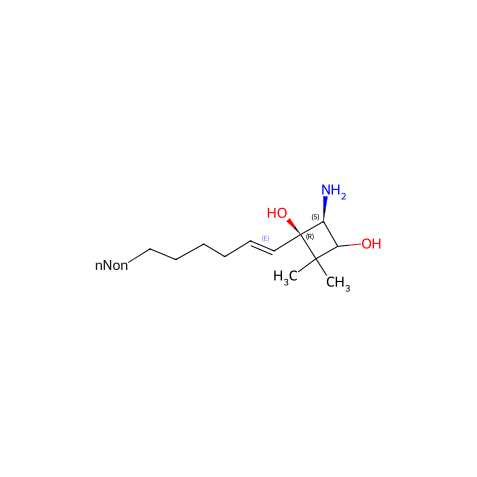 CCCCCCCCCCCCC/C=C/[C@]1(O)[C@@H](N)C(O)C1(C)C